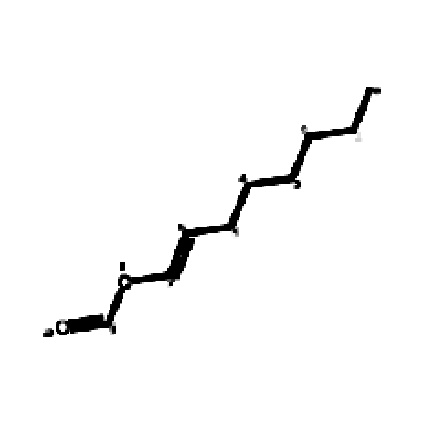 CCCCCCC=CO[C]=O